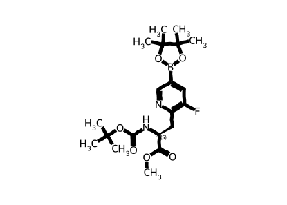 COC(=O)[C@H](Cc1ncc(B2OC(C)(C)C(C)(C)O2)cc1F)NC(=O)OC(C)(C)C